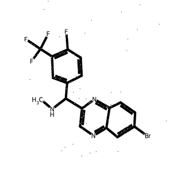 CNC(c1ccc(F)c(C(F)(F)F)c1)c1cnc2cc(Br)ccc2n1